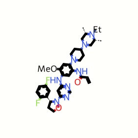 C=CC(=O)Nc1cc(Nc2cc(N3OCC[C@@H]3c3cc(F)ccc3F)ncn2)c(OC)cc1N1CCC(N2C[C@@H](C)N(CC)[C@@H](C)C2)CC1